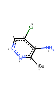 CC(C)(C)c1nncc(Cl)c1N